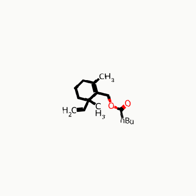 C=CC1(C)CCCC(C)=C1COC(=O)CCCC